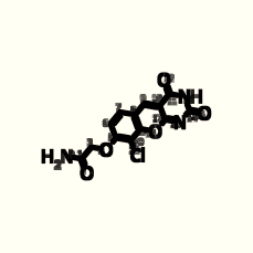 NC(=O)COc1ccc2cc3c(=O)[nH]c(=O)nc-3oc2c1Cl